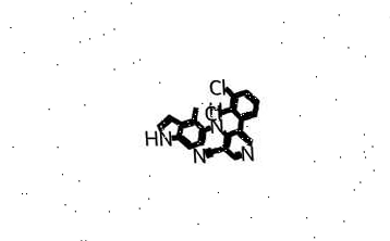 Cc1c(Nc2c(C#N)cncc2-c2cccc(Cl)c2Cl)ccc2[nH]ccc12